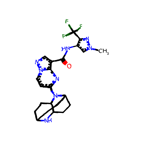 Cn1cc(NC(=O)c2cnn3ccc(N4C5CCC6NC5CCC64)nc23)c(C(F)(F)F)n1